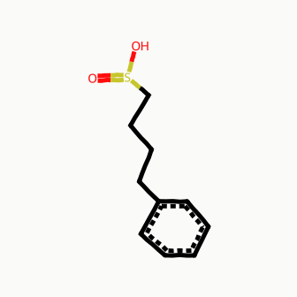 O=S(O)CCCCc1ccccc1